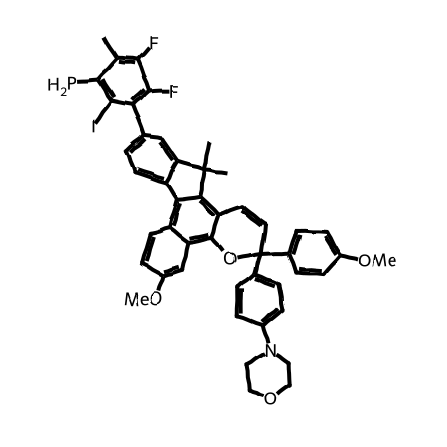 COc1ccc(C2(c3ccc(N4CCOCC4)cc3)C=Cc3c4c(c5ccc(OC)cc5c3O2)-c2ccc(-c3c(F)c(F)c(C)c(P)c3I)cc2C4(C)C)cc1